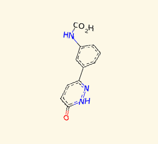 O=C(O)Nc1cccc(-c2ccc(=O)[nH]n2)c1